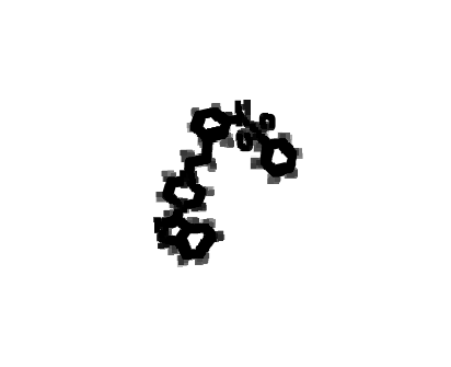 O=S(=O)(Nc1cccc(CCN2CCN(c3nsc4ccccc34)CC2)c1)c1ccccc1